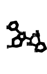 CC(Nc1ncccc1C#N)c1nn(-c2cccnc2)c2cc(F)ccc12